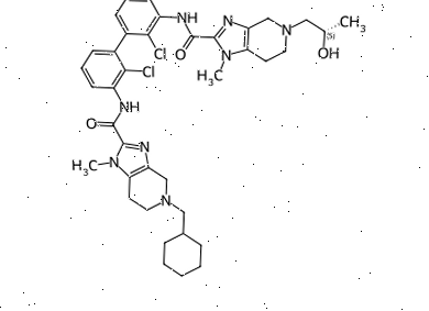 C[C@H](O)CN1CCc2c(nc(C(=O)Nc3cccc(-c4cccc(NC(=O)c5nc6c(n5C)CCN(CC5CCCCC5)C6)c4Cl)c3Cl)n2C)C1